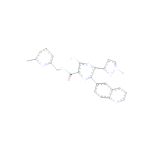 Cc1cccc(CNC(=O)c2nc(-c3ccc4ncccc4c3)c(-c3ccn(C)n3)nc2N)n1